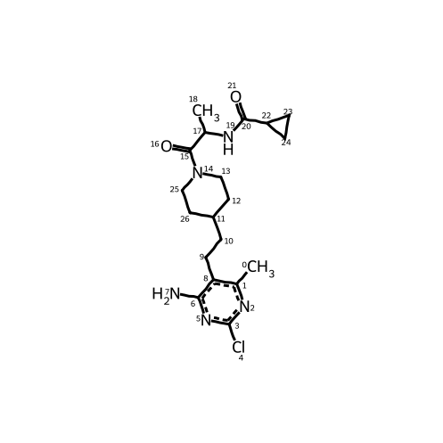 Cc1nc(Cl)nc(N)c1CCC1CCN(C(=O)C(C)NC(=O)C2CC2)CC1